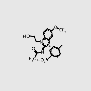 Cc1ccc(S(=O)(=O)O)cc1.O=C(/N=c1/sc2cc(OC(F)(F)F)ccc2n1CCO)C(F)(F)F